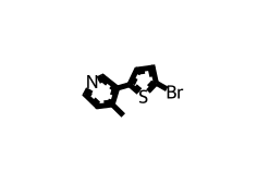 Cc1ccncc1-c1ccc(Br)s1